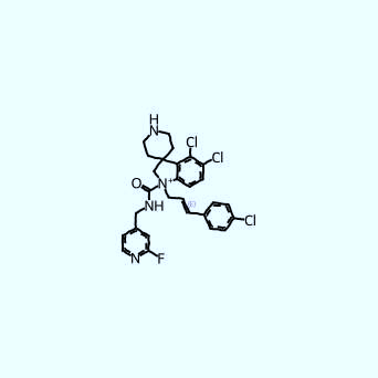 O=C(NCc1ccnc(F)c1)[N+]1(C/C=C/c2ccc(Cl)cc2)CC2(CCNCC2)c2c1ccc(Cl)c2Cl